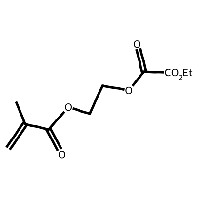 C=C(C)C(=O)OCCOC(=O)C(=O)OCC